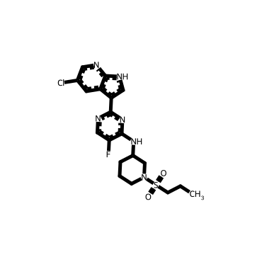 CCCS(=O)(=O)N1CCCC(Nc2nc(-c3c[nH]c4ncc(Cl)cc34)ncc2F)C1